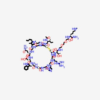 C=C/C=C\c1c(C)c(C[C@@H]2NC(=O)[C@H](C(C)C)NC(=O)[C@@H](NC(=O)[C@@H](NC(C)=O)[C@@H](C)CC)CSSC[C@@H](C(=O)N[C@H](C(=O)NCCOCCOCC(=O)N[C@@H](CCCCNC)C(N)=O)[C@@H](C)O)NC(=O)[C@H](CCCNC(=N)N)NC(=O)[C@H](Cc3cnc[nH]3)NC(=O)[C@H](C)NC(=O)CNC(=O)[C@H](Cc3c[nH]c4ccccc34)NC(=O)[C@H](CC(=O)O)NC(=O)[C@H](CCC(N)=O)NC2=O)cn1C